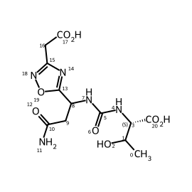 CC(O)[C@H](NC(=O)NC(CC(N)=O)c1nc(CC(=O)O)no1)C(=O)O